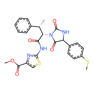 COC(=O)c1csc(NC(=O)[C@H]([C@@H](C)c2ccccc2)N2C(=O)NC(c3ccc(SC)cc3)C2=O)n1